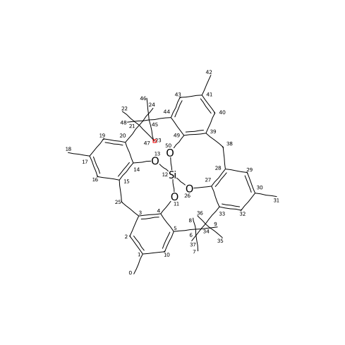 Cc1cc2c(c(C(C)(C)C)c1)O[Si]1(Oc3c(cc(C)cc3C(C)(C)C)C2)Oc2c(cc(C)cc2C(C)(C)C)Cc2cc(C)cc(C(C)(C)C)c2O1